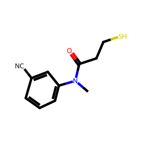 CN(C(=O)CCS)c1cccc(C#N)c1